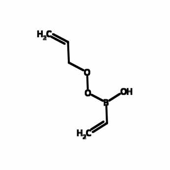 C=CCOOB(O)C=C